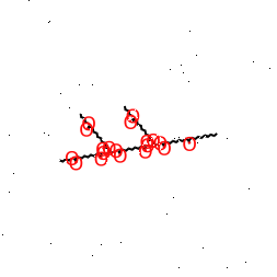 CCC/C=C/CCCCC(=O)CCCCCCCC(=O)OCC(COC(=O)CCCCCCCC(=O)OCC(COC(=O)CCCCCCCC(=O)OCCCC)OC(=O)CCCCCCCC(=O)OCCCC)OC(=O)CCCCCCCC(=O)OCCCC